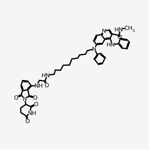 CNC(=O)c1cnc2ccc(N(CCCCCCCCCCNC(=O)CNc3cccc4c3C(=O)N(C3CCC(=O)NC3=O)C4=O)c3ccccc3)cc2c1Nc1ccccc1